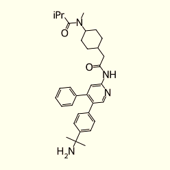 CC(C)C(=O)N(C)C1CCC(CC(=O)Nc2cc(-c3ccccc3)c(-c3ccc(C(C)(C)N)cc3)cn2)CC1